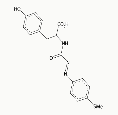 CSc1ccc(/N=N/C(=O)NC(Cc2ccc(O)cc2)C(=O)O)cc1